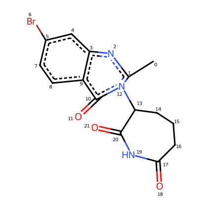 Cc1nc2cc(Br)ccc2c(=O)n1C1CCCC(=O)NC1=O